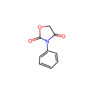 O=C1COC(=O)N1c1ccccc1